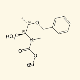 C[C@H](OCc1ccccc1)[C@H](C(=O)O)N(C)C(=O)OC(C)(C)C